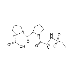 CCS(=O)(=O)N[C@@H](C)C(=O)N1CCCC1C(=O)N1CCC[C@H]1C(=O)O